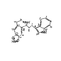 c1ccc2c(CCC3NCCc4cc5c(cc43)ONO5)c[nH]c2c1